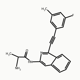 Cc1cc(F)cc(C#Cc2nc(NC(=O)C(C)N)cc3ccccc23)c1